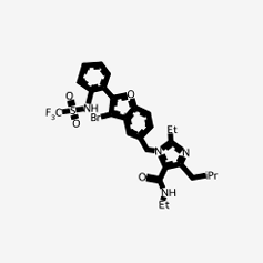 CCNC(=O)c1c(CC(C)C)nc(CC)n1Cc1ccc2oc(-c3ccccc3NS(=O)(=O)C(F)(F)F)c(Br)c2c1